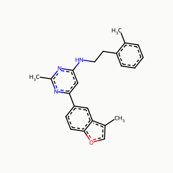 Cc1nc(NCCc2ccccc2C)cc(-c2ccc3occ(C)c3c2)n1